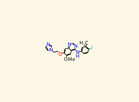 COc1cc2c(Nc3ccc(F)c(C)c3)ncnc2cc1OCCn1ccnc1